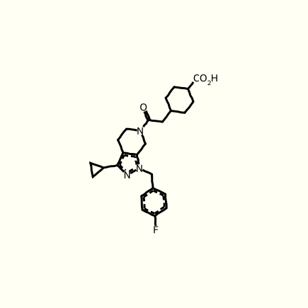 O=C(O)C1CCC(CC(=O)N2CCc3c(C4CC4)nn(Cc4ccc(F)cc4)c3C2)CC1